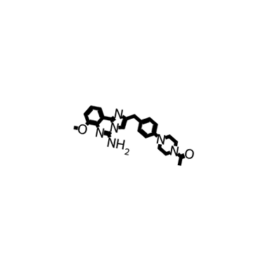 COc1cccc2c1nc(N)n1cc(Cc3ccc(N4CCN(C(C)=O)CC4)cc3)nc21